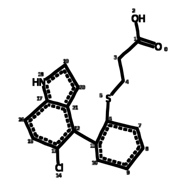 O=C(O)CCSc1ccccc1-c1c(Cl)ccc2[nH]ccc12